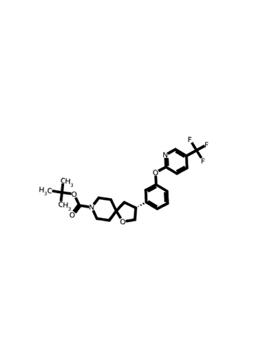 CC(C)(C)OC(=O)N1CCC2(CC1)C[C@H](c1cccc(Oc3ccc(C(F)(F)F)cn3)c1)CO2